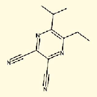 CCc1nc(C#N)c(C#N)nc1C(C)C